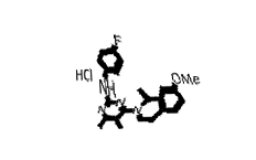 COc1ccc2c(c1)C(C)N(c1nc(Nc3ccc(F)cc3)nc(C)c1C)CC2.Cl